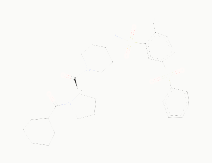 O=C([C@H]1CCCN1C(=O)C1CCCCC1)N1CCC(NS(=O)(=O)c2cc(S(=O)(=O)c3ccccc3)ccc2C(F)(F)F)CC1